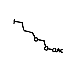 CC(=O)OOCOCCCI